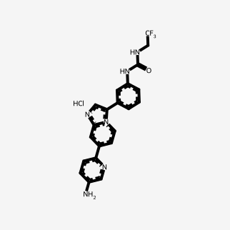 Cl.Nc1ccc(-c2ccn3c(-c4cccc(NC(=O)NCC(F)(F)F)c4)cnc3c2)nc1